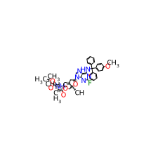 C#C[C@]1(COC(=O)[C@H](C)NC(=O)OC(C)(C)C)O[C@@H](n2cnc3c(NC(c4ccccc4)(c4ccccc4)c4ccc(OC)cc4)nc(F)nc32)C[C@@H]1C